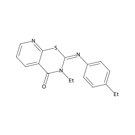 CCc1ccc(N=c2sc3ncccc3c(=O)n2CC)cc1